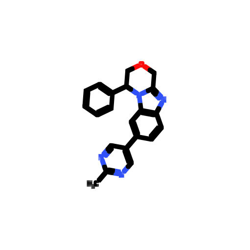 Cc1ncc(-c2ccc3nc4n(c3c2)C(c2ccccc2)COC4)cn1